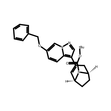 CC(C)(C)OC(=O)N1[C@@H]2CC[C@H]1C=C(c1cnn3cc(OCc4ccccc4)ccc13)C2